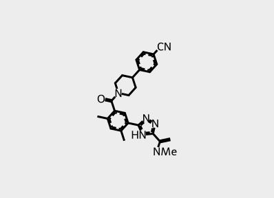 C=C(NC)c1nnc(-c2cc(C(=O)N3CCC(c4ccc(C#N)cc4)CC3)c(C)cc2C)[nH]1